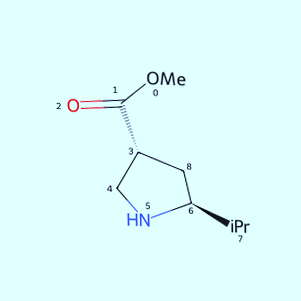 COC(=O)[C@H]1CN[C@H](C(C)C)C1